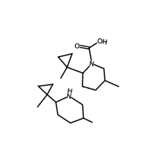 CC1CCC(C2(C)CC2)N(C(=O)O)C1.CC1CCC(C2(C)CC2)NC1